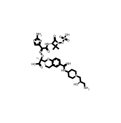 CC1(C)[C@H](NC(=O)/C(=N\O[C@](C)(C(=O)O)[C@H]2CCc3cc(C(=N)NC4CCN(C[C@H](O)CN)CC4)ccc3O2)c2csc(N)n2)C(=O)N1OS(=O)(=O)O